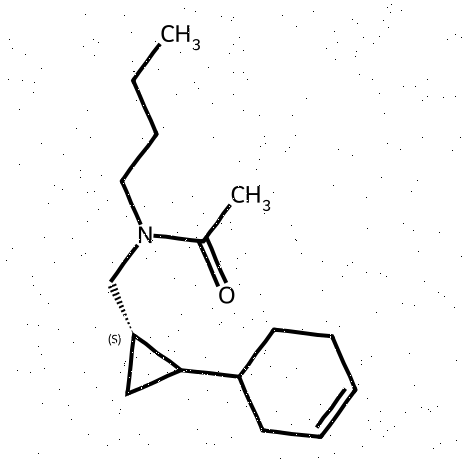 CCCCN(C[C@H]1CC1C1CC=CCC1)C(C)=O